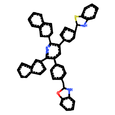 c1ccc2c(c1)NC(c1ccc(-c3cc(-c4ccc(C5Nc6ccccc6S5)cc4)c(-c4ccc5ccccc5c4)nc3-c3ccc4ccccc4c3)cc1)O2